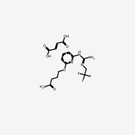 NC(=O)CCCOc1cccc(NC(N)=NCC(F)(F)F)n1.O=C(O)C=CC(=O)O